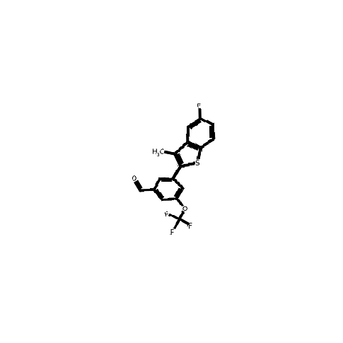 Cc1c(-c2cc(C=O)cc(OC(F)(F)F)c2)sc2ccc(F)cc12